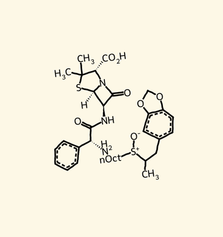 CC1(C)S[C@@H]2[C@H](NC(=O)[C@H](N)c3ccccc3)C(=O)N2[C@H]1C(=O)O.CCCCCCCC[S+]([O-])C(C)Cc1ccc2c(c1)OCO2